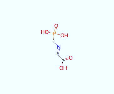 O=C(O)C=NCP(=O)(O)O